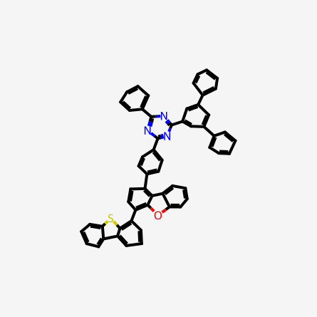 c1ccc(-c2cc(-c3ccccc3)cc(-c3nc(-c4ccccc4)nc(-c4ccc(-c5ccc(-c6cccc7c6sc6ccccc67)c6oc7ccccc7c56)cc4)n3)c2)cc1